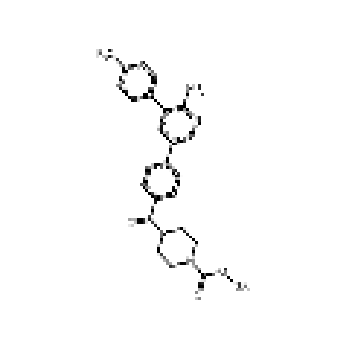 CC(C)(C)OC(=O)N1CCN(C(=O)c2ccc(-c3cnc(N)c(-c4ccc(C(F)(F)F)nc4)n3)cc2)CC1